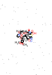 CCC(C)(C)C(=O)C(=O)N1CCCC[C@H]1C(=O)O[C@H](CCc1ccc(OC)c(OC)c1)CC(C)(C)CCC(C)(C)C(=O)[C@@H]1C[C@H](SC2=C(C(=O)O)N3C(=O)[C@H]([C@@H](C)O)[C@H]3[C@H]2C)CN1